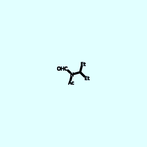 CCC(CC)N(C=O)C(C)=O